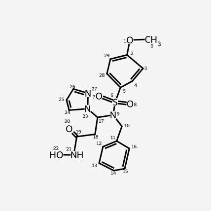 COc1ccc(S(=O)(=O)N(Cc2ccccc2)C(CC(=O)NO)n2cccn2)cc1